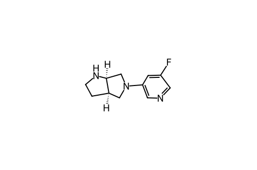 Fc1cncc(N2C[C@H]3CCN[C@H]3C2)c1